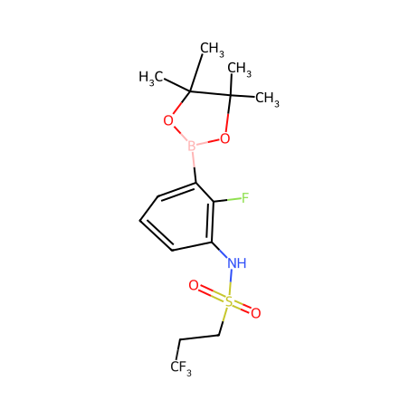 CC1(C)OB(c2cccc(NS(=O)(=O)CCC(F)(F)F)c2F)OC1(C)C